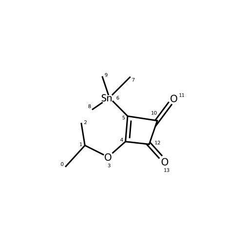 CC(C)Oc1[c]([Sn]([CH3])([CH3])[CH3])c(=O)c1=O